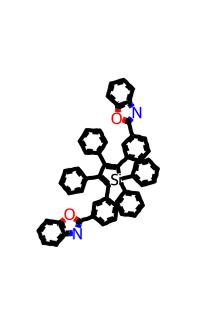 c1ccc(C2=C(c3cccc(-c4nc5ccccc5o4)c3)[Si](c3ccccc3)(c3ccccc3)C(c3cccc(-c4nc5ccccc5o4)c3)=C2c2ccccc2)cc1